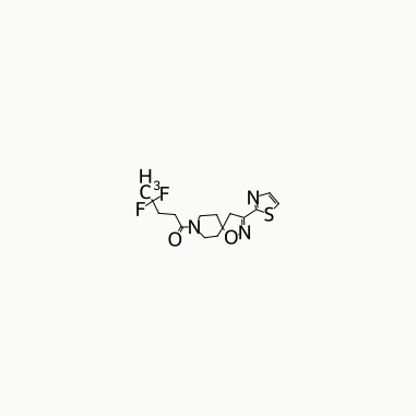 CC(F)(F)CCC(=O)N1CCC2(CC1)CC(c1nccs1)=NO2